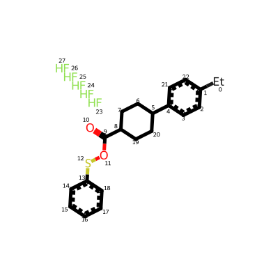 CCc1ccc(C2CCC(C(=O)OSc3ccccc3)CC2)cc1.F.F.F.F.F